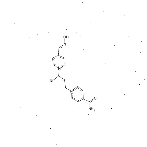 NC(=O)c1cc[n+](CCC(Br)[n+]2ccc(C=NO)cc2)cc1